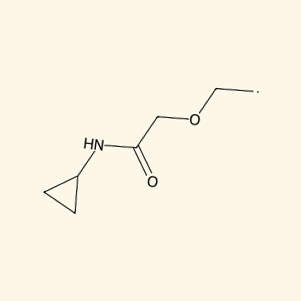 [CH2]COCC(=O)NC1CC1